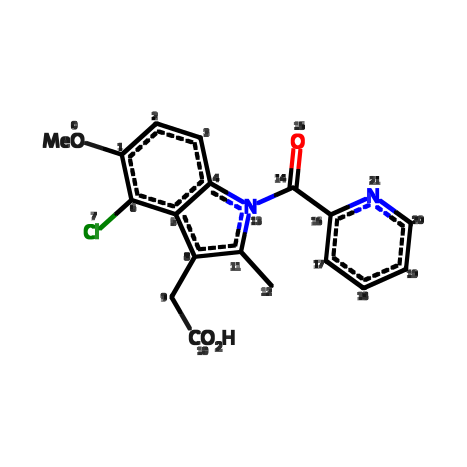 COc1ccc2c(c1Cl)c(CC(=O)O)c(C)n2C(=O)c1ccccn1